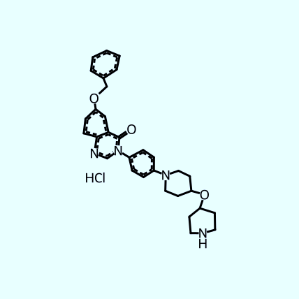 Cl.O=c1c2cc(OCc3ccccc3)ccc2ncn1-c1ccc(N2CCC(OC3CCNCC3)CC2)cc1